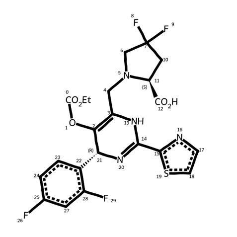 CCOC(=O)OC1=C(CN2CC(F)(F)C[C@H]2C(=O)O)NC(c2nccs2)=N[C@@H]1c1ccc(F)cc1F